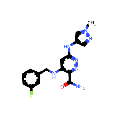 Cn1cc(Nc2cc(NCc3cccc(F)c3)c(C(N)=O)nn2)cn1